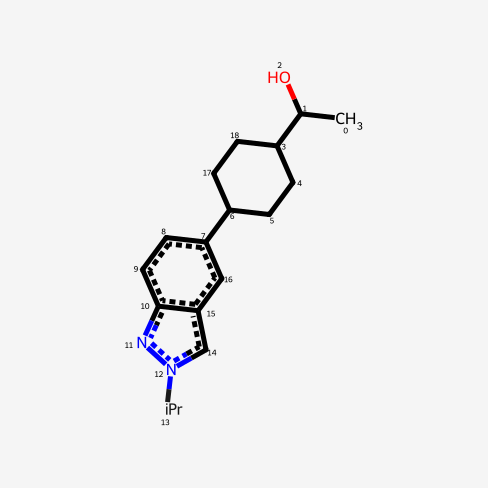 CC(O)C1CCC(c2ccc3nn(C(C)C)cc3c2)CC1